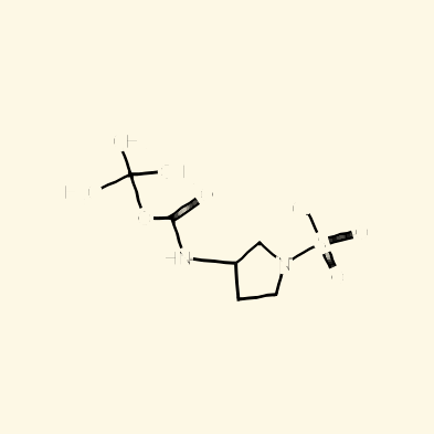 CC(C)(C)OC(=O)NC1CCN(S(=O)(=O)Cl)C1